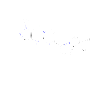 CCC[CH2][Sn]([CH2]CCC)([CH2]CCC)[c]1cccc(-c2ccnc(Nc3cnn(C)c3Cl)n2)n1